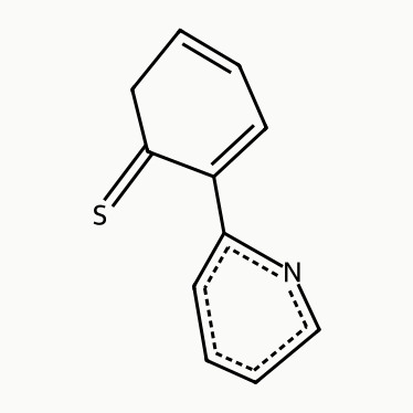 S=C1CC=CC=C1c1ccccn1